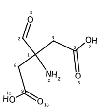 NC(C=O)(CC(=O)O)CC(=O)O